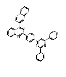 c1ccc(-c2cc(-c3ccc(-c4nc(-c5ccc6ccccc6c5)c5ccccc5n4)cc3)nc(-c3ccccc3)n2)cc1